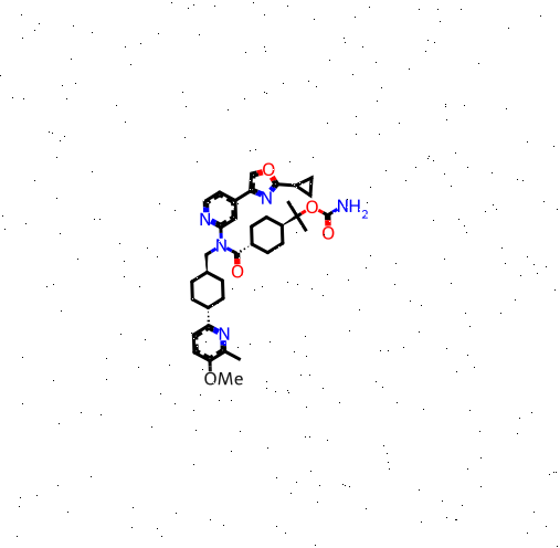 COc1ccc([C@H]2CC[C@H](CN(c3cc(-c4coc(C5CC5)n4)ccn3)C(=O)[C@H]3CC[C@H](C(C)(C)OC(N)=O)CC3)CC2)nc1C